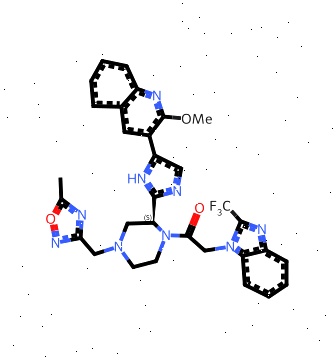 COc1nc2ccccc2cc1-c1cnc([C@@H]2CN(Cc3noc(C)n3)CCN2C(=O)Cn2c(C(F)(F)F)nc3ccccc32)[nH]1